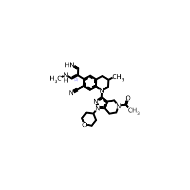 CN/C=C(\C=N)c1cc2c(cc1C#N)N(c1nn(C3CCOCC3)c3c1CN(C(C)=O)CC3)CC(C)C2